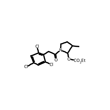 CCOC(=O)OC1C(C)CCN1C(=O)Cc1c(Cl)cc(Cl)cc1Cl